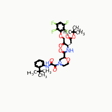 CC(C)(C)OC(=O)C[C@H](NC(=O)C1CN(C(=O)C(=O)Nc2ccccc2C(C)(C)C)CCO1)C(=O)COc1c(F)c(F)cc(F)c1F